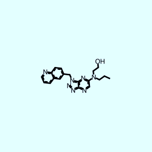 CCCN(CCO)c1cnc2nnn(Cc3ccc4ncccc4c3)c2n1